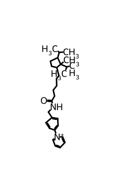 CC(C)C1CCC(CCCCCC(=O)NCc2ccc(-[n+]3ccccc3)cc2)C1(C)C(C)C